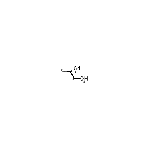 CCCO.[Gd]